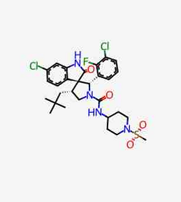 CC(C)(C)C[C@H]1CN(C(=O)NC2CCN(S(C)(=O)=O)CC2)[C@@H](c2cccc(Cl)c2F)[C@@]12C(=O)Nc1cc(Cl)ccc12